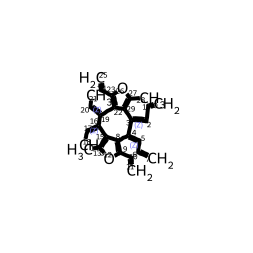 C=C/C=C1/C(=C/C=C)c2c(C=C)oc(C)c2C(=C\C)/C(=C/C)c2c(C=C)oc(C)c21